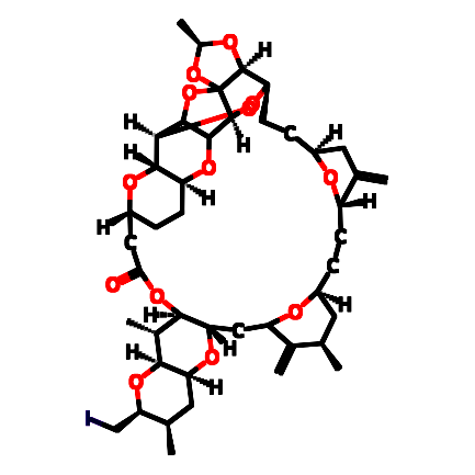 C=C1C2C[C@@H]3O[C@H]4C[C@@H](C)[C@@H](CI)O[C@H]4[C@H](C)[C@H]3OC(=O)C[C@H]3CC[C@@H]4OC5C6OC78O[C@@H](C)O[C@H]7[C@](CC[C@H]7CC(=C)[C@H](CC[C@@H](C[C@H]1C)O2)O7)(O[C@H]6[C@H]4O3)O[C@@H]58